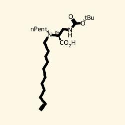 C=CCCCCCCCCCN(CCCCC)[C@@H](CNC(=O)OC(C)(C)C)C(=O)O